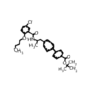 CCCCOc1ccc(Cl)cc1C(=O)NC(C)Cc1ccc(-c2ccc(C(=O)OC(C)(C)C)cc2)cc1